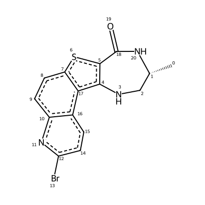 C[C@@H]1CNc2c(sc3ccc4nc(Br)ccc4c23)C(=O)N1